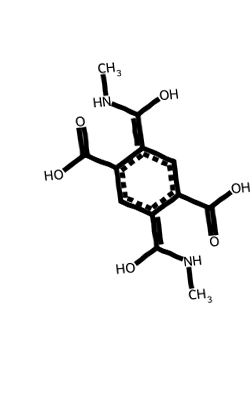 CN/C(O)=c1/cc(C(=O)O)/c(=C(/O)NC)cc1C(=O)O